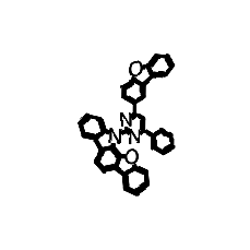 c1ccc(-c2cc(-c3ccc4oc5ccccc5c4c3)nc(-n3c4ccccc4c4ccc5c6ccccc6oc5c43)n2)cc1